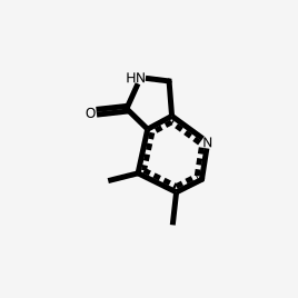 Cc1cnc2c(c1C)C(=O)NC2